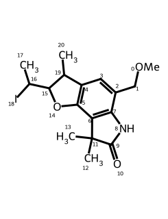 COCc1cc2c(c3c1NC(=O)C3(C)C)OC(C(C)I)C2C